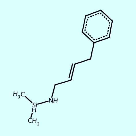 C[SiH](C)NCC=CCc1ccccc1